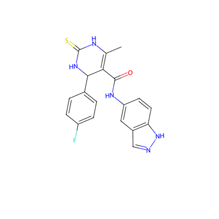 CC1=C(C(=O)Nc2ccc3[nH]ncc3c2)C(c2ccc(F)cc2)NC(=S)N1